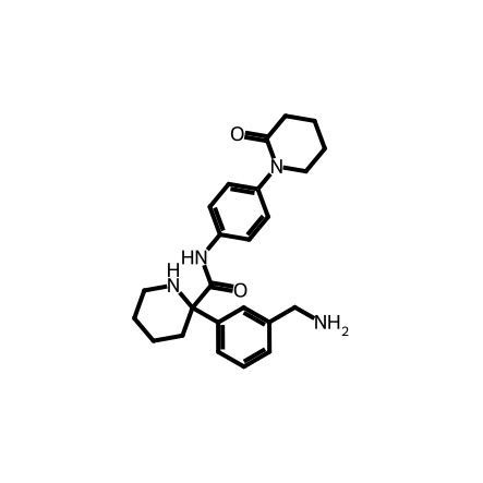 NCc1cccc(C2(C(=O)Nc3ccc(N4CCCCC4=O)cc3)CCCCN2)c1